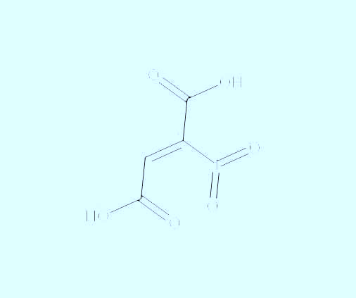 O=C(O)/C=C(/C(=O)O)I(=O)=O